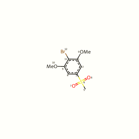 COc1cc(S(C)(=O)=O)cc(OC)c1Br